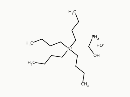 CCCC[N+](CCCC)(CCCC)CCCC.OCP.[OH-]